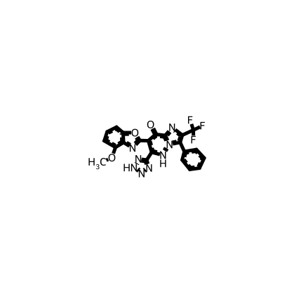 COc1cccc2oc(-c3c(-c4nn[nH]n4)[nH]n4c(-c5ccccc5)c(C(F)(F)F)nc4c3=O)nc12